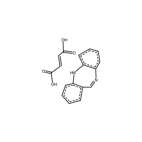 C1=Nc2ccccc2Nc2ccccc21.O=C(O)C=CC(=O)O